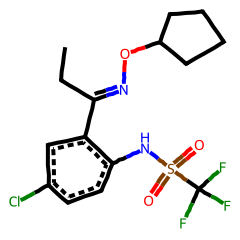 CC/C(=N\OC1CCCC1)c1cc(Cl)ccc1NS(=O)(=O)C(F)(F)F